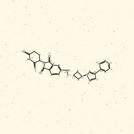 O=C1CCC(N2C(=O)c3ccc(NC[C@H]4C[C@H](n5cc(-c6ccccn6)cn5)C4)cc3C2=O)C(=O)N1